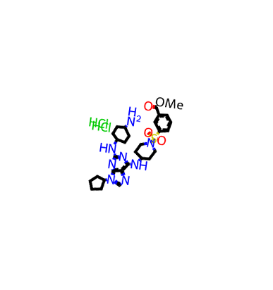 COC(=O)c1cccc(S(=O)(=O)N2CCC(Nc3nc(NC4CCC(N)CC4)nc4c3ncn4C3CCCC3)CC2)c1.Cl.Cl